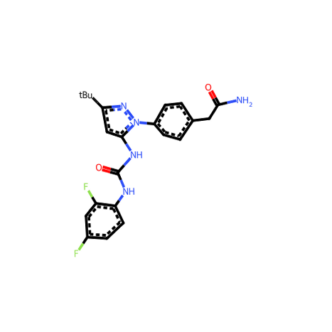 CC(C)(C)c1cc(NC(=O)Nc2ccc(F)cc2F)n(-c2ccc(CC(N)=O)cc2)n1